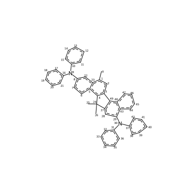 Cc1cc2c(c3ccc(N(c4ccccc4)c4ccccc4)cc13)C(C)(C)c1cc(N(c3ccccc3)c3ccccc3)c3ccccc3c1-2